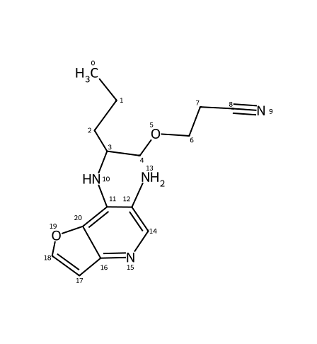 CCCC(COCCC#N)Nc1c(N)cnc2ccoc12